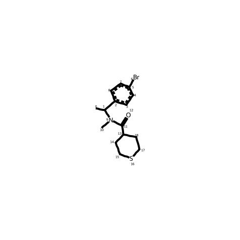 CC(c1ccc(Br)cc1)N(C)C(=O)C1CCSCC1